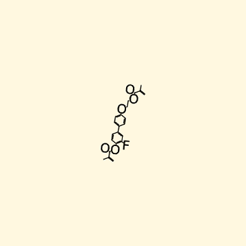 C=C(C)C(=O)OCCOc1ccc(-c2ccc(OC(=O)C(=C)C)c(F)c2)cc1